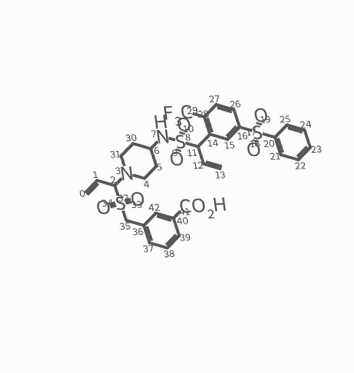 C=CC(N1CCC(NS(=O)(=O)C(C=C)c2cc(S(=O)(=O)c3ccccc3)ccc2C(F)(F)F)CC1)S(=O)(=O)Cc1cccc(C(=O)O)c1